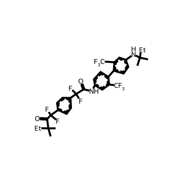 CCC(C)(C)Nc1ccc(-c2ccc(NC(=O)C(F)(F)c3ccc(C(F)(F)C(=O)C(C)(C)CC)cc3)cc2C(F)(F)F)c(C(F)(F)F)c1